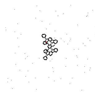 CCc1c(-n2c3ccccc3c3ccc4c(c5ccccc5n4-c4ccccc4)c32)c(C#N)cc(C#N)c1-n1c2ccccc2c2ccc3c(c4ccccc4n3-c3ccccc3)c21